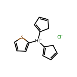 C1=CC[C]([Hf+]([C]2=CC=CC2)[c]2cccs2)=C1.[Cl-]